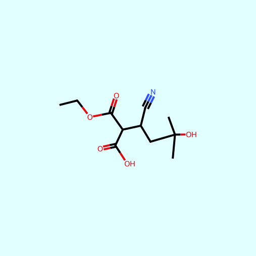 CCOC(=O)C(C(=O)O)C(C#N)CC(C)(C)O